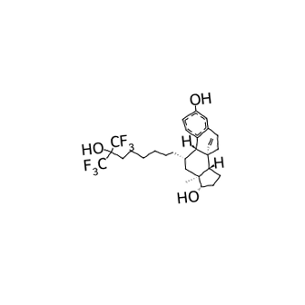 C=C[C@@]12CCc3cc(O)ccc3[C@H]1[C@@H](CCCCCCC(O)(C(F)(F)F)C(F)(F)F)C[C@@]1(C)[C@H]2CC[C@@H]1O